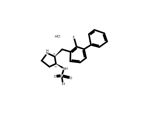 CCS(=O)(=O)N[C@H]1CCN[C@H]1Cc1cccc(-c2ccccc2)c1F.Cl